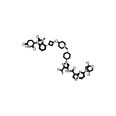 Cn1c(=O)n(C2CCC(=O)NC2=O)c2cccc([C@H]3C[C@H](OC4CCN(C[C@H]5CC[C@H](n6cc(NC(=O)c7cnn8ccc(N9C[C@H]%10C[C@@H]9CO%10)nc78)c(C(F)F)n6)CC5)CC4)C3)c21